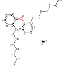 CCCCCCCCc1ccccc1Oc1ccccc1CCCCCCCC.[NaH]